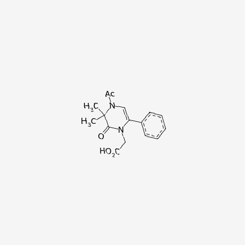 CC(=O)N1C=C(c2ccccc2)N(CC(=O)O)C(=O)C1(C)C